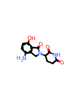 Nc1ccc(O)c2c1CN(C1CCC(=O)NC1=O)C2=O